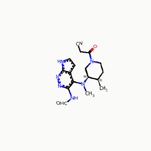 C[C@@H]1CCN(C(=O)CC#N)C[C@@H]1N(C)c1c(NC=O)nnc2[nH]ccc12